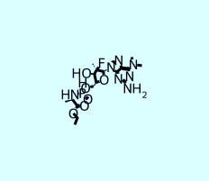 CCOC(=O)[C@@H](C)N[PH](=O)OC[C@H]1O[C@@H](n2cnc3c(N(C)C)nc(N)nc32)[C@](C)(F)[C@@H]1O